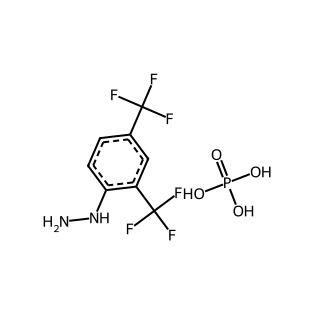 NNc1ccc(C(F)(F)F)cc1C(F)(F)F.O=P(O)(O)O